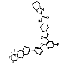 C[C@@H]1CN(Cc2cc(-c3cccc(Oc4ncc(F)cc4C(=O)N[C@H]4CC[C@@H](NC(=O)c5cc6n(n5)CCCC6)CC4)c3)ccc2O)C[C@H](C)N1